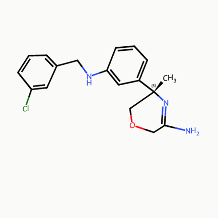 C[C@]1(c2cccc(NCc3cccc(Cl)c3)c2)COCC(N)=N1